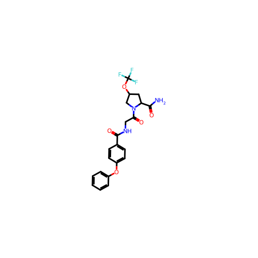 NC(=O)C1CC(OC(F)(F)F)CN1C(=O)CNC(=O)c1ccc(Oc2ccccc2)cc1